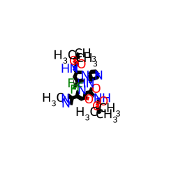 Cn1cc(-c2cnc3c(C(=O)Nc4cnccc4N4CC(NC(=O)OC(C)(C)C)C[C@@H](C(F)(F)F)C4)c(NC(=O)OC(C)(C)C)oc3c2)cn1